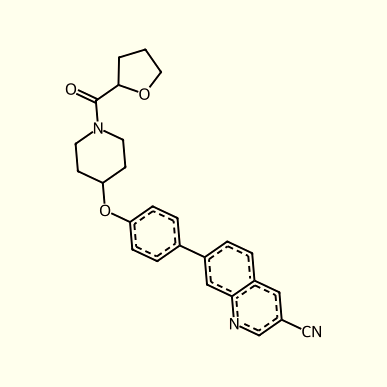 N#Cc1cnc2cc(-c3ccc(OC4CCN(C(=O)C5CCCO5)CC4)cc3)ccc2c1